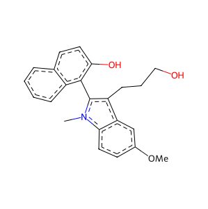 COc1ccc2c(c1)c(CCCO)c(-c1c(O)ccc3ccccc13)n2C